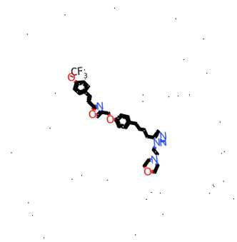 FC(F)(F)Oc1ccc(C=Cc2nc(COc3ccc(CCCCc4cnnn4CCN4CCOCC4)cc3)co2)cc1